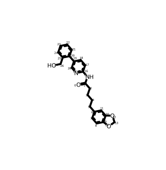 O=C(CCCCc1ccc2c(c1)OCO2)Nc1ccc(-c2ccccc2CO)cn1